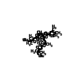 CCC(CC(C)N(C)C)C(=O)OC(C(C)CC(C)(C)OC(=O)CC(=O)C(C)(C)CC(C)(C)C)C(C)(C)CC(C)(C)OC(=O)CC(=O)C(C)(C)CC(C)(C)C